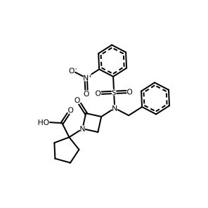 O=C1C(N(Cc2ccccc2)S(=O)(=O)c2ccccc2[N+](=O)[O-])CN1C1(C(=O)O)CCCC1